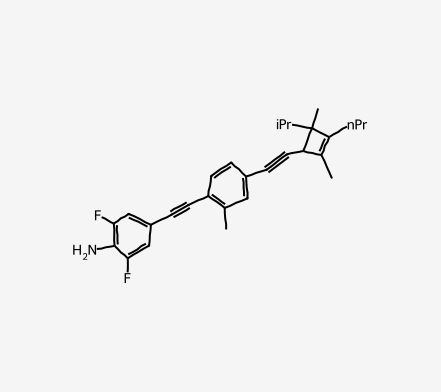 CCCC1=C(C)C(C#Cc2ccc(C#Cc3cc(F)c(N)c(F)c3)c(C)c2)C1(C)C(C)C